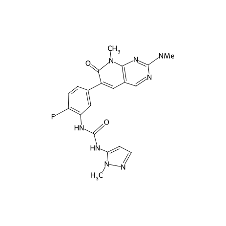 CNc1ncc2cc(-c3ccc(F)c(NC(=O)Nc4ccnn4C)c3)c(=O)n(C)c2n1